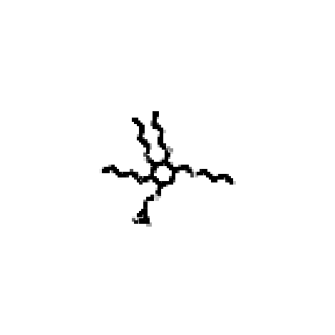 CCCCOCC1CC(OC[C@H]2CO2)C(OCCCC)C(OCCCC)C1OCCCC